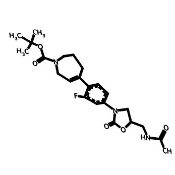 CC(=O)NCC1CN(c2ccc(C3=CCN(C(=O)OC(C)(C)C)CCC3)c(F)c2)C(=O)O1